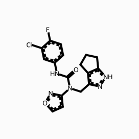 O=C(Nc1ccc(F)c(Cl)c1)N(Cc1n[nH]c2c1CCC2)c1ccon1